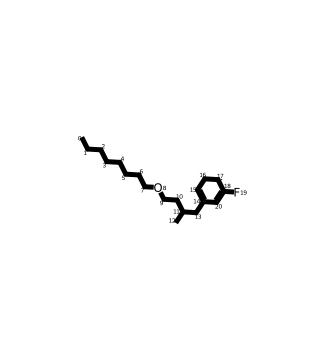 CCCCCCCCOCCC(C)CC1=CC[CH]C(F)=C1